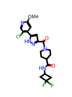 COc1cc(-c2cc(C(=O)N3CCC(C(=O)NC4CC(F)(F)C4)CC3)n[nH]2)c(Cl)cn1